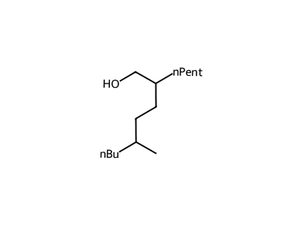 CCCCCC(CO)CCC(C)CCCC